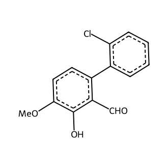 COc1ccc(-c2ccccc2Cl)c(C=O)c1O